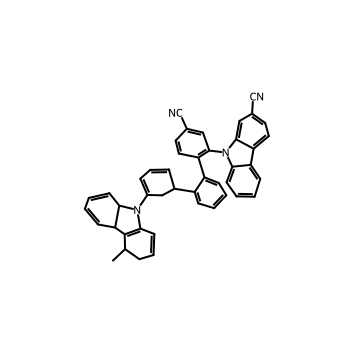 CC1CC=CC2=C1C1C=CC=CC1N2C1=CC=CC(c2ccccc2-c2ccc(C#N)cc2-n2c3ccccc3c3ccc(C#N)cc32)C1